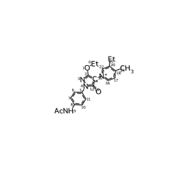 CCOc1nn(-c2ccc(NC(C)=O)cc2)c(=O)[c-]1-[n+]1ccc(C)c(CC)c1